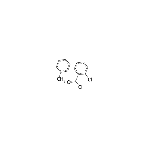 Cc1ccccc1.O=C(Cl)c1ccccc1Cl